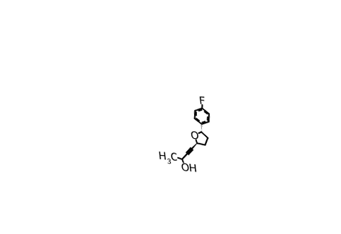 CC(O)C#C[C@@H]1CC[C@@H](c2ccc(F)cc2)O1